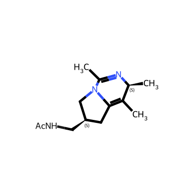 CC(=O)NC[C@@H]1CC2=C(C)[C@H](C)N=C(C)N2C1